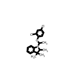 CC(Oc1ccc(Cl)cc1Cl)N1c2ccccc2C(C)(C)C1C